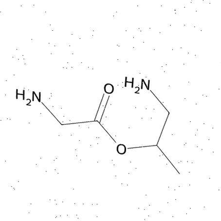 CC(CN)OC(=O)CN